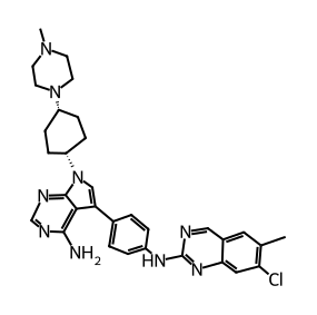 Cc1cc2cnc(Nc3ccc(-c4cn([C@H]5CC[C@@H](N6CCN(C)CC6)CC5)c5ncnc(N)c45)cc3)nc2cc1Cl